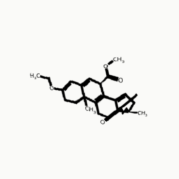 CCOC1=CC2=C[C@@H](C(=O)OC)C3=C(CCC45C(=O)CC[C@]4(C)CC=C35)C2(C)CC1